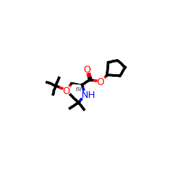 CC(C)(C)N[C@@H](COC(C)(C)C)C(=O)OC1CCCC1